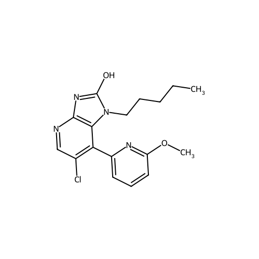 CCCCCn1c(O)nc2ncc(Cl)c(-c3cccc(OC)n3)c21